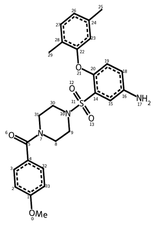 COc1ccc(C(=O)N2CCN(S(=O)(=O)c3cc(N)ccc3Oc3cc(C)ccc3C)CC2)cc1